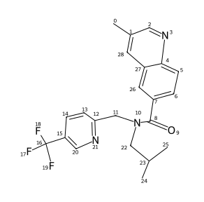 Cc1cnc2ccc(C(=O)N(Cc3ccc(C(F)(F)F)cn3)CC(C)C)cc2c1